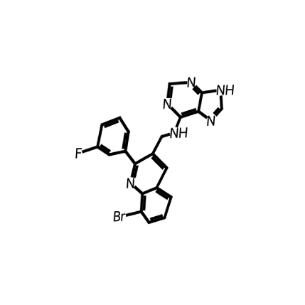 Fc1cccc(-c2nc3c(Br)cccc3cc2CNc2ncnc3[nH]cnc23)c1